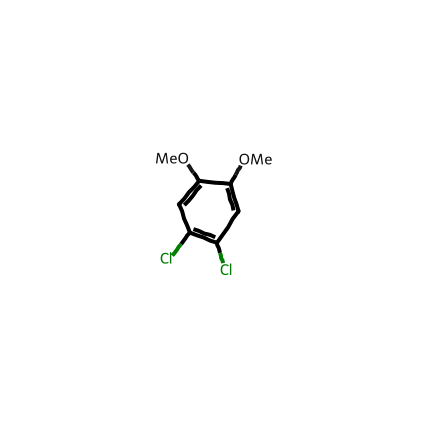 COc1cc(Cl)c(Cl)cc1OC